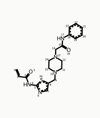 C=CC(=O)Nc1ncc(CN2CCN(CC(=O)Nc3ccccc3)CC2)s1